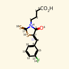 O=C(O)CCCN1C(=O)/C(=C/c2cccc(F)c2)SC1=S